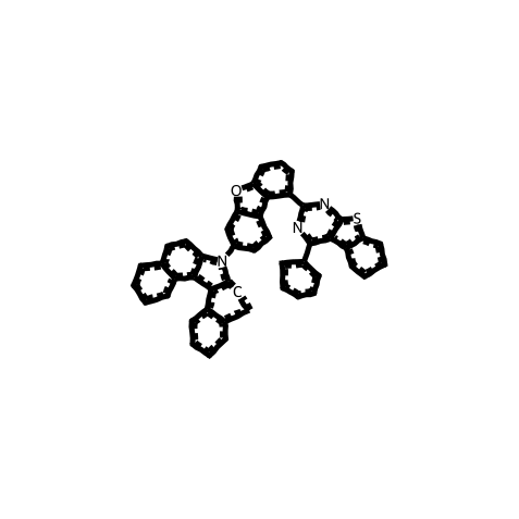 c1ccc(-c2nc(-c3cccc4oc5cc(-n6c7ccc8ccccc8c7c7c8ccccc8ccc76)ccc5c34)nc3sc4ccccc4c23)cc1